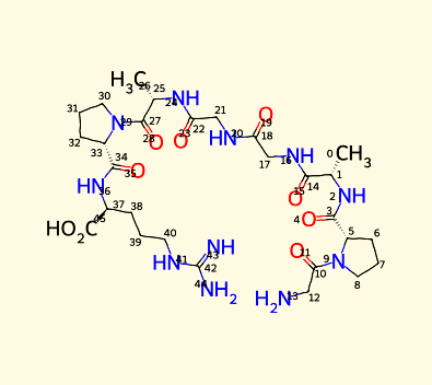 C[C@H](NC(=O)[C@@H]1CCCN1C(=O)CN)C(=O)NCC(=O)NCC(=O)N[C@@H](C)C(=O)N1CCC[C@H]1C(=O)N[C@@H](CCCNC(=N)N)C(=O)O